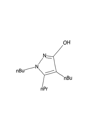 CCCCc1c(O)nn(CCCC)c1CCC